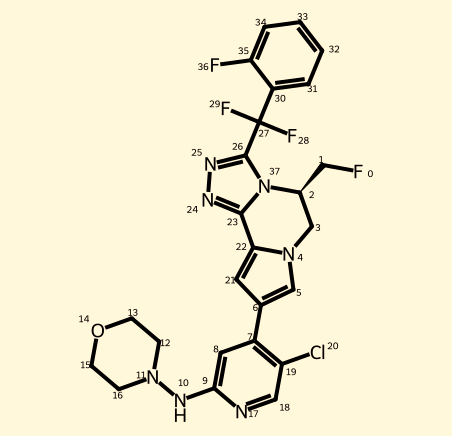 FC[C@H]1Cn2cc(-c3cc(NN4CCOCC4)ncc3Cl)cc2-c2nnc(C(F)(F)c3ccccc3F)n21